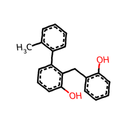 Cc1ccccc1-c1cccc(O)c1Cc1ccccc1O